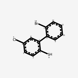 Sc1ccc(Cl)cc1-c1ccccc1Br